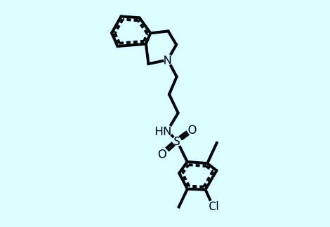 Cc1cc(S(=O)(=O)NCCCN2CCc3ccccc3C2)c(C)cc1Cl